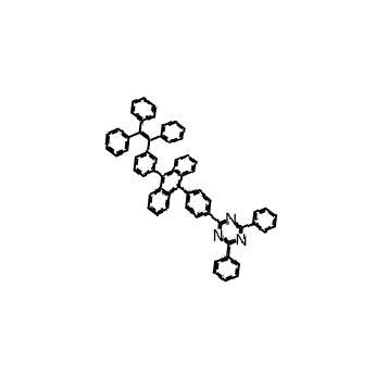 c1ccc(C(=C(c2ccccc2)c2cccc(-c3c4ccccc4c(-c4ccc(-c5nc(-c6ccccc6)nc(-c6ccccc6)n5)cc4)c4ccccc34)c2)c2ccccc2)cc1